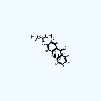 CC(C)Oc1ccc(C(=O)c2ccccc2)c(N)c1